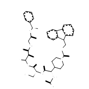 CCCC(NC(=O)[C@H](CC(C)C)NC(=O)[C@@H](NC(=O)OCC(C)C)C1CCN(C(=O)OCC2c3ccccc3-c3ccccc32)CC1)C(=O)C(=O)NCC(=O)N[C@H](C(=O)O)c1ccccc1